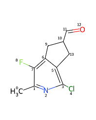 Cc1nc(Cl)c2c(c1F)CC(C=O)C2